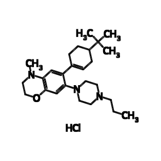 CCCN1CCN(c2cc3c(cc2C2=CCC(C(C)(C)C)CC2)N(C)CCO3)CC1.Cl